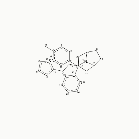 Cc1ccc(CN2C3CCC2CC(CCc2cccs2)(c2ccccn2)C3)cn1